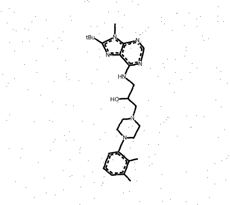 Cc1cccc(N2CCN(CC(O)CNc3ncnc4c3nc(C(C)(C)C)n4C)CC2)c1C